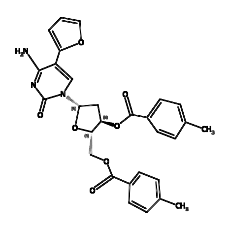 Cc1ccc(C(=O)OC[C@@H]2O[C@H](n3cc(-c4ccco4)c(N)nc3=O)C[C@H]2OC(=O)c2ccc(C)cc2)cc1